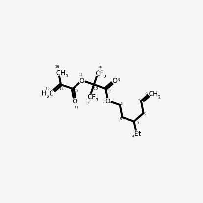 C=CCC(CC)CCOC(=O)C(OC(=O)C(=C)C)(C(F)(F)F)C(F)(F)F